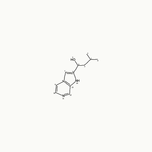 CC(C)CC(O)c1cc2ccncc2[nH]1